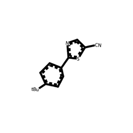 CC(C)(C)c1ccc(-c2ncc(C#N)s2)cc1